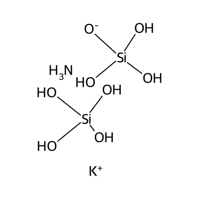 N.O[Si](O)(O)O.[K+].[O-][Si](O)(O)O